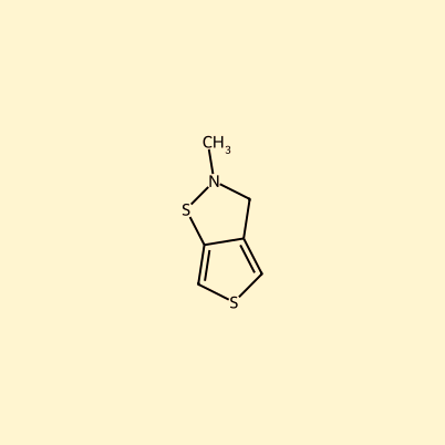 CN1Cc2cscc2S1